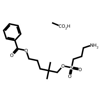 CC(=O)O.CC(C)(CCCOC(=O)c1ccccc1)COS(=O)(=O)CCCN